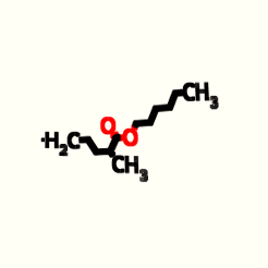 [CH2]CCC(C)C(=O)OCCCCCC